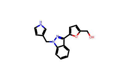 OCc1ccc(-c2nn(Cc3cc[nH]c3)c3ccccc23)o1